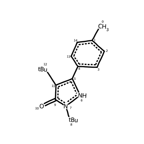 Cc1ccc(-c2[nH]n(C(C)(C)C)c(=O)c2C(C)(C)C)cc1